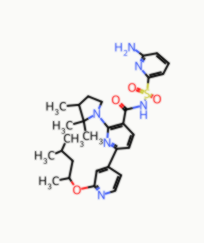 CC(C)CC(C)Oc1cc(-c2ccc(C(=O)NS(=O)(=O)c3cccc(N)n3)c(N3CCC(C)C3(C)C)n2)ccn1